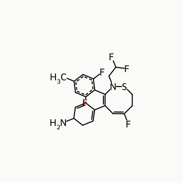 Cc1cc(F)c(/C2=C(C3=CCC(N)C=C3)/C=C(/F)CCSN2CC(F)F)c(F)c1